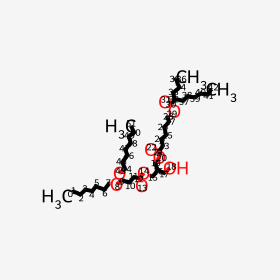 CCCCCCCCOC(CCC(=O)OCC(CO)COC(=O)CCCCCCOC(=O)C(CCCC)CCCCCC)OCCCCCCCC